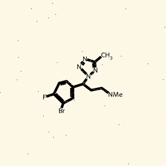 CNCCC(c1ccc(F)c(Br)c1)n1nnc(C)n1